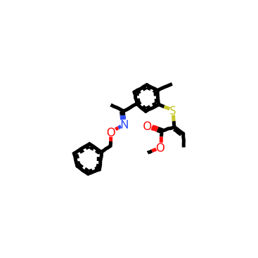 CC=C(Sc1cc(C(C)=NOCc2ccccc2)ccc1C)C(=O)OC